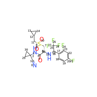 N#CC1(NC(=O)[C@H](CS(=O)(=O)CC2CC2)N[C@@H](c2ccc(F)cc2F)C(F)(F)F)CC1